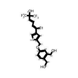 CC/C(=C\C=C\C(O)(C(F)(F)F)C(F)(F)F)c1csc(COc2ccc(CO)c(CO)c2)c1